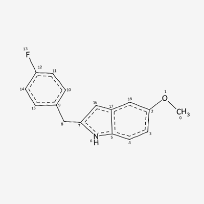 COc1ccc2[nH]c(Cc3ccc(F)cc3)cc2c1